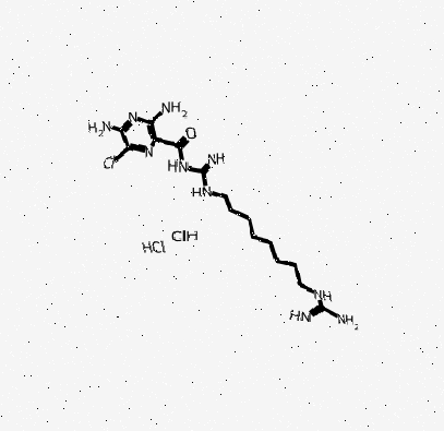 Cl.Cl.N=C(N)NCCCCCCCCNC(=N)NC(=O)c1nc(Cl)c(N)nc1N